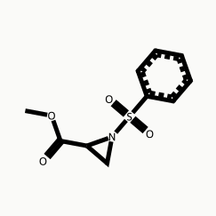 COC(=O)C1CN1S(=O)(=O)c1ccccc1